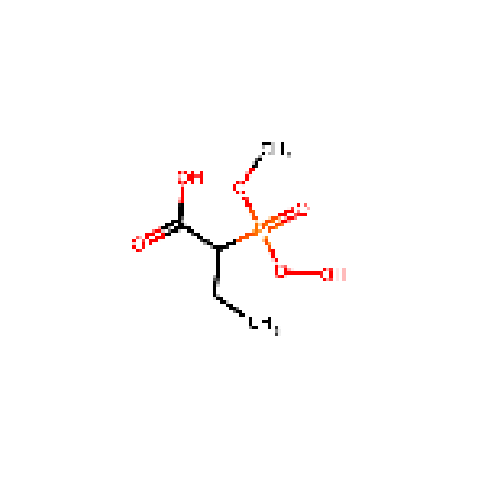 CCC(C(=O)O)P(=O)(OC)OO